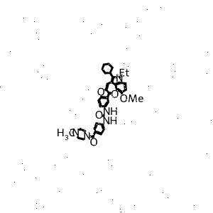 CCn1c(C2CCCCC2)c(C=C2Oc3ccc(NC(=O)Nc4ccc(C(=O)N5CCN(C)CC5)cc4)cc3C2=O)c2cc(OC)ccc21